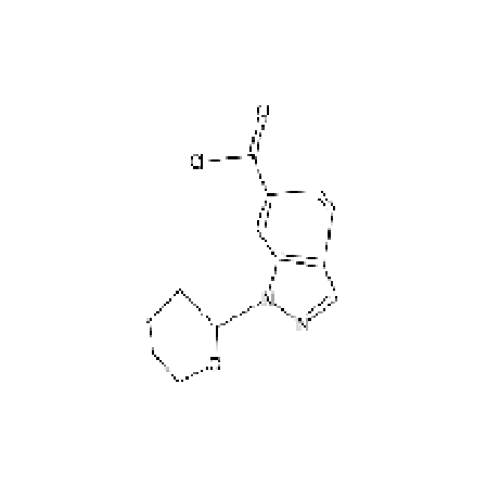 O=C(Cl)c1ccc2cnn(C3CCCCO3)c2c1